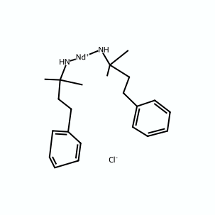 CC(C)(CCc1ccccc1)[NH][Nd+][NH]C(C)(C)CCc1ccccc1.[Cl-]